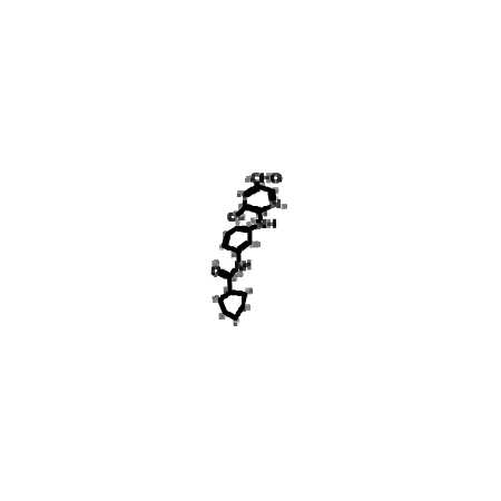 O=Cc1cnc(Nc2cccc(NC(=O)C3CCCCC3)c2)c(Cl)c1